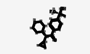 C[C@](O)(c1ccc(C(=O)N(C2CCOCC2)C2CC2)cc1)C(F)(F)F